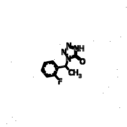 CC(c1ccccc1F)n1nn[nH]c1=O